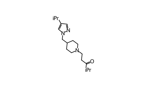 CC(C)C(=O)CCN1CCC(Cn2cc(C(C)C)cn2)CC1